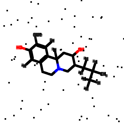 [2H]c1c(O)c(OC)c([2H])c2c1CCN1CC(C([2H])([2H])C([2H])(C)C([2H])([2H])[2H])C(O)CC21[2H]